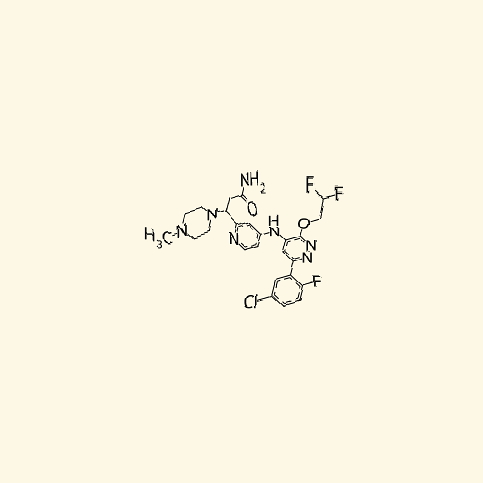 CN1CCN(C(CC(N)=O)c2cc(Nc3cc(-c4cc(Cl)ccc4F)nnc3OCC(F)F)ccn2)CC1